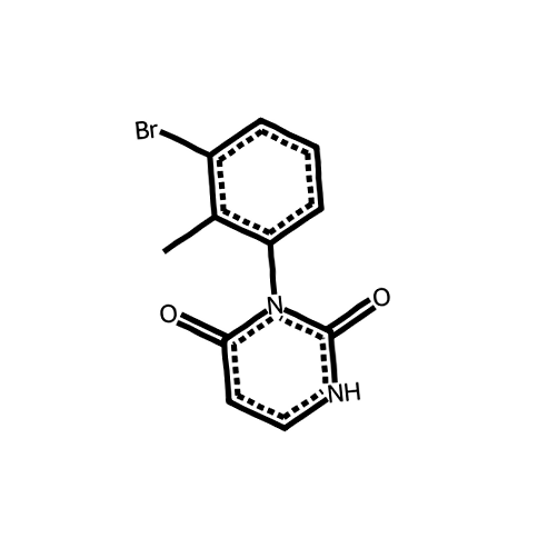 Cc1c(Br)cccc1-n1c(=O)cc[nH]c1=O